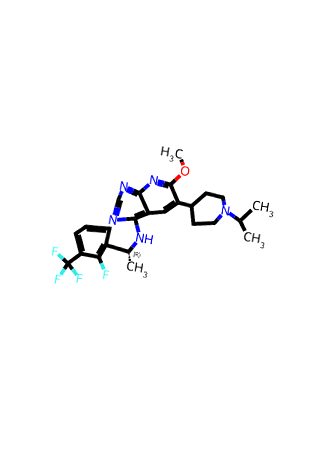 COc1nc2ncnc(N[C@H](C)c3cccc(C(F)(F)F)c3F)c2cc1C1CCN(C(C)C)CC1